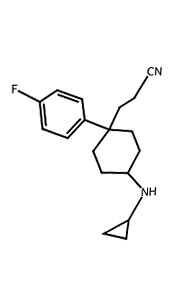 N#CCCC1(c2ccc(F)cc2)CCC(NC2CC2)CC1